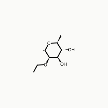 CCO[C@H]1[CH]O[C@@H](C)[C@H](O)[C@H]1O